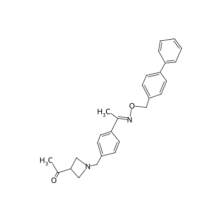 CC(=O)C1CN(Cc2ccc(/C(C)=N/OCc3ccc(-c4ccccc4)cc3)cc2)C1